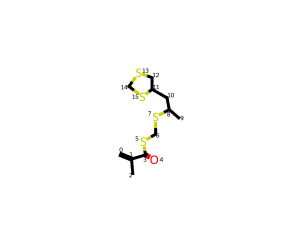 C=C(C)C(=O)SCSC(C)CC1CSCS1